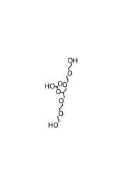 O=C(O)OC(COCCOCCO)COCCOCCO